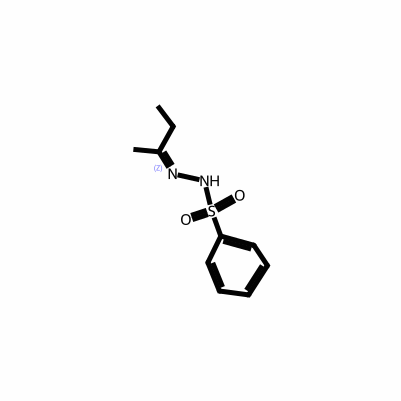 CC/C(C)=N\NS(=O)(=O)c1ccccc1